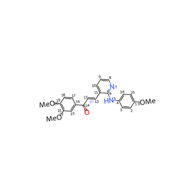 COc1ccc(Nc2ncccc2/C=C/C(=O)c2ccc(OC)c(OC)c2)cc1